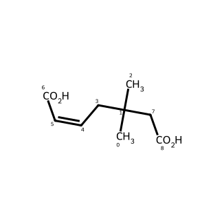 CC(C)(C/C=C\C(=O)O)CC(=O)O